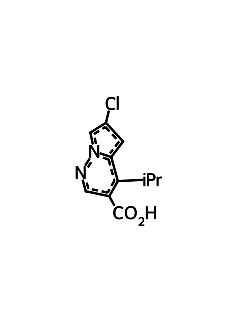 CC(C)c1c(C(=O)O)cnn2cc(Cl)cc12